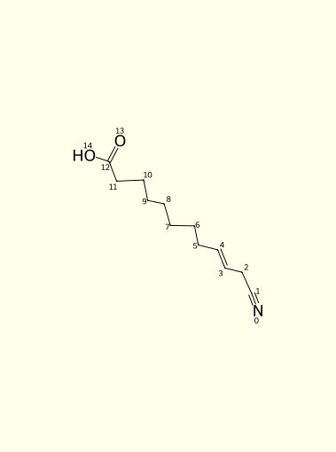 N#CC/C=C/CCCCCCCC(=O)O